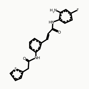 Nc1cc(F)ccc1NC(=O)C=Cc1cccc(NC(=O)Cc2cccs2)c1